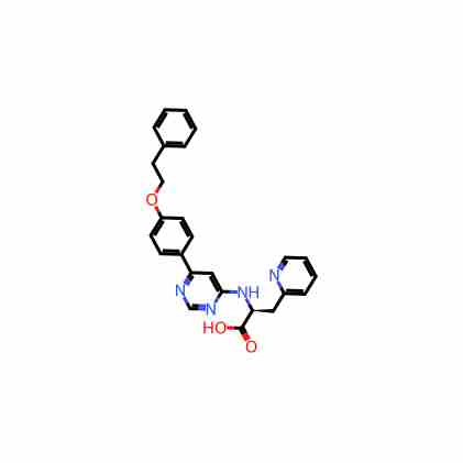 O=C(O)[C@H](Cc1ccccn1)Nc1cc(-c2ccc(OCCc3ccccc3)cc2)ncn1